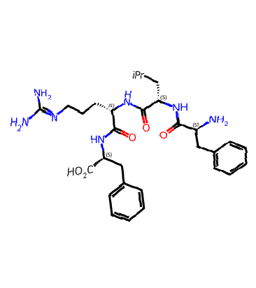 CC(C)C[C@H](NC(=O)[C@@H](N)Cc1ccccc1)C(=O)N[C@@H](CCCN=C(N)N)C(=O)N[C@@H](Cc1ccccc1)C(=O)O